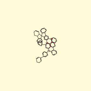 C1=CC(c2ccc(N(c3cc(-c4ccccc4)cc(-c4ccccc4)c3)c3ccccc3-c3ccc4c(c3)Oc3cc5c(cc3O4)-c3ccccc3C53c4ccccc4C4CCC=CC43)cc2)=CCC1